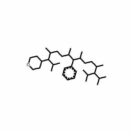 CC(C)C(C(C)C)C(C)CCC(C)C(c1ccccc1)C(C)CCC(C)C(C(C)C)C1CCOCC1